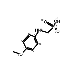 COc1ccc(N[CH]S(=O)(=O)O)cc1